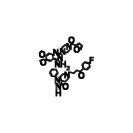 COc1cc2nc(N3CCN(C(=O)c4ccco4)CC3)nc(N)c2cc1OC.O=C(CCCN1CCC2(CC1)C(=O)NCN2c1ccccc1)c1ccc(F)cc1